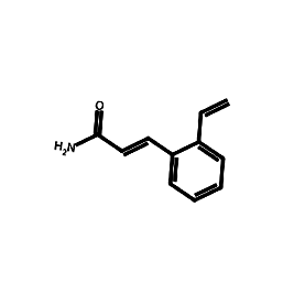 C=Cc1ccccc1C=CC(N)=O